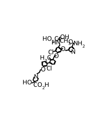 Cc1c(COc2cc(OCc3cncc(C(N)=O)c3)c(CN[C@](C)(CO)C(=O)O)cc2Cl)cccc1-c1cccc(OCCCN2CCC(CO)(C(=O)O)CC2)c1Cl